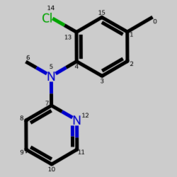 Cc1ccc(N(C)c2c[c]ccn2)c(Cl)c1